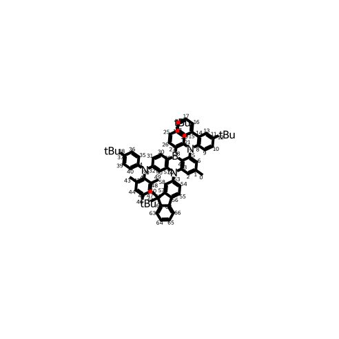 Cc1cc2c3c(c1)N(c1ccc(C(C)(C)C)cc1-c1ccccc1)c1cc(C(C)(C)C)ccc1B3c1ccc(N(c3ccc(C(C)(C)C)cc3)c3c(C)cc(C(C)(C)C)cc3C)cc1N2c1ccc2c(c1)C(C)(C)c1ccccc1-2